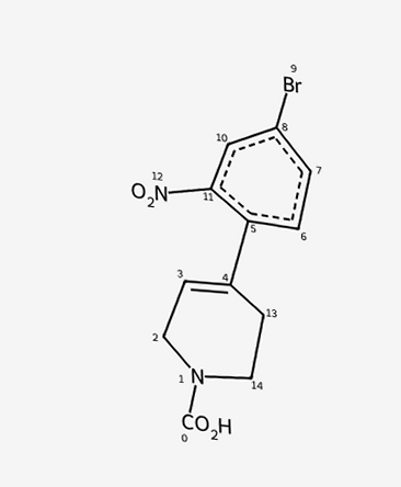 O=C(O)N1CC=C(c2ccc(Br)cc2[N+](=O)[O-])CC1